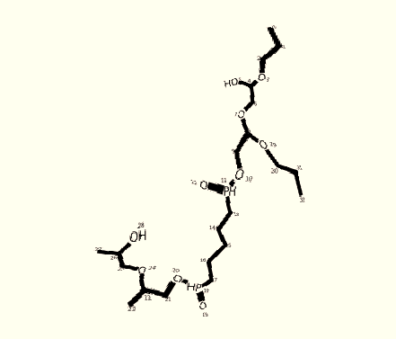 CCCOC(O)COC(CO[PH](=O)CCCCC[PH](=O)OCC(C)OCC(C)O)OCCC